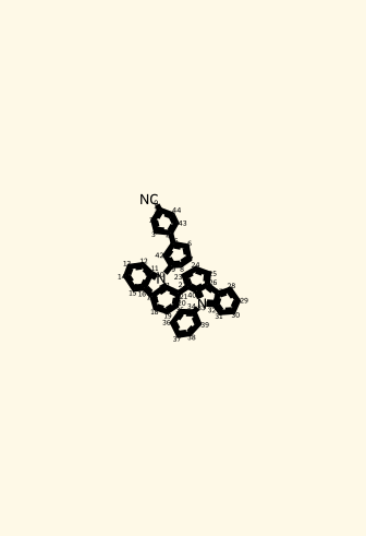 N#Cc1ccc(-c2cccc(-n3c4ccccc4c4cccc(-c5cccc6c7ccccc7n(-c7ccccc7)c56)c43)c2)cc1